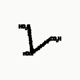 CCCCCCCCC(CCCCCCCCCCCCCCCCC(=O)O)OCCCCCCCCCCCCCCCCCC(=O)O